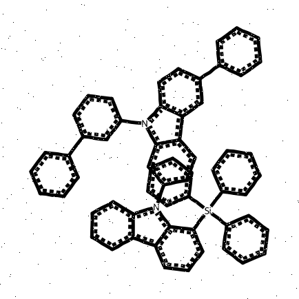 c1ccc(-c2cccc(-n3c4ccc(-c5ccccc5)cc4c4ccc(-n5c6ccccc6c6cccc([Si](c7ccccc7)(c7ccccc7)c7ccccc7)c65)cc43)c2)cc1